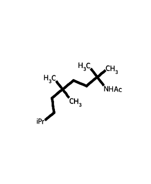 CC(=O)NC(C)(C)CCC(C)(C)CCC(C)C